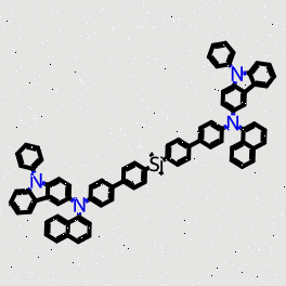 C[Si](C)(c1ccc(-c2ccc(N(c3ccc4c(c3)c3ccccc3n4-c3ccccc3)c3cccc4ccccc34)cc2)cc1)c1ccc(-c2ccc(N(c3ccc4c(c3)c3ccccc3n4-c3ccccc3)c3cccc4ccccc34)cc2)cc1